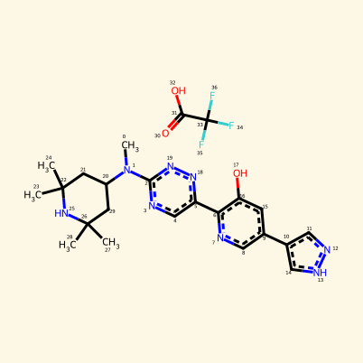 CN(c1ncc(-c2ncc(-c3cn[nH]c3)cc2O)nn1)C1CC(C)(C)NC(C)(C)C1.O=C(O)C(F)(F)F